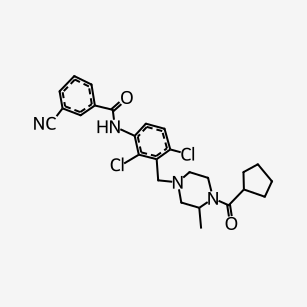 CC1CN(Cc2c(Cl)ccc(NC(=O)c3cccc(C#N)c3)c2Cl)CCN1C(=O)C1CCCC1